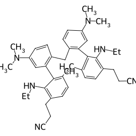 CCNc1c(CCC#N)ccc(C)c1-c1cc(N(C)C)ccc1Cc1ccc(N(C)C)cc1-c1c(C)ccc(CCC#N)c1NCC